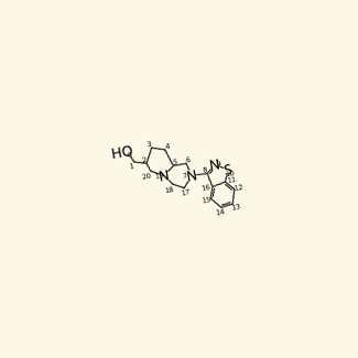 OCC1CCC2CN(c3nsc4ccccc34)CCN2C1